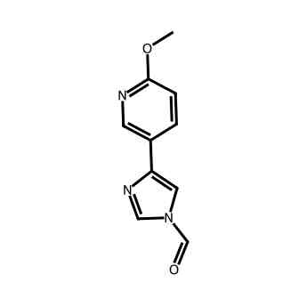 COc1ccc(-c2cn(C=O)cn2)cn1